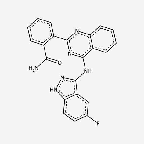 NC(=O)c1ccccc1-c1nc(Nc2n[nH]c3ccc(F)cc23)c2ccccc2n1